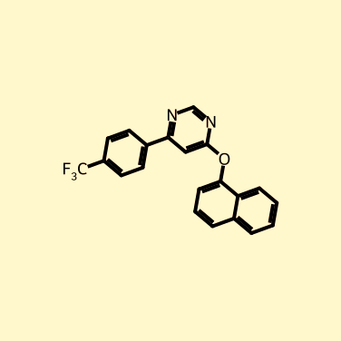 FC(F)(F)c1ccc(-c2cc(Oc3cccc4ccccc34)ncn2)cc1